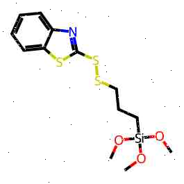 CO[Si](CCCSSc1nc2ccccc2s1)(OC)OC